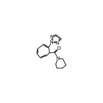 O=C(C1C=CC=CC=C1n1nccn1)N1CCCCC1